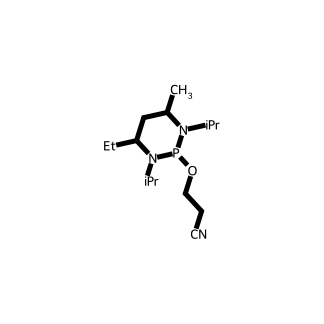 CCC1CC(C)N(C(C)C)P(OCCC#N)N1C(C)C